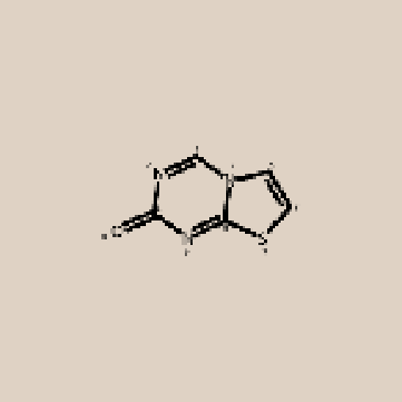 O=c1ncn2ccsc2n1